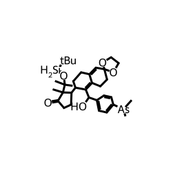 C[As](C)c1ccc(C(O)C2=C3CCC4(C=C3CCC2C2CCC(=O)C2(C)C(C)(C)O[SiH2]C(C)(C)C)OCCO4)cc1